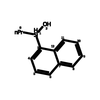 CCC[SiH](O)c1cccc2ccccc12